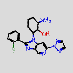 NC1CCCC(n2c(-c3ccccc3F)nc3cnc(-n4nccn4)cc32)C1O